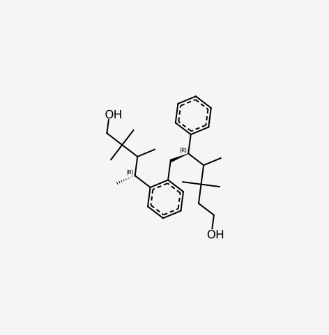 CC([C@@H](C)c1ccccc1C[C@@H](c1ccccc1)C(C)C(C)(C)CCO)C(C)(C)CO